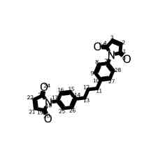 O=C1C=CC(=O)N1c1ccc(CCCc2ccc(N3C(=O)C=CC3=O)cc2)cc1